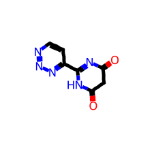 O=C1CC(=O)NC(c2ccnnn2)=N1